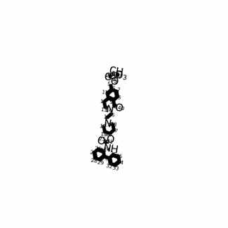 CS(=O)(=O)OCc1ccc2c(c1)CCN(CCN1CCC(OC(=O)Nc3ccccc3-c3ccccc3)CC1)C2=O